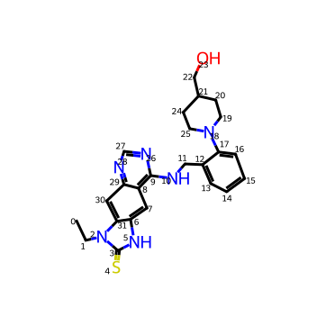 CCn1c(=S)[nH]c2cc3c(NCc4ccccc4N4CCC(CO)CC4)ncnc3cc21